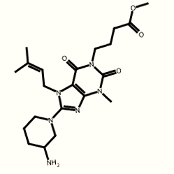 COC(=O)CCCn1c(=O)c2c(nc(N3CCCC(N)C3)n2CC=C(C)C)n(C)c1=O